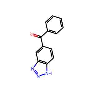 O=C(c1ccccc1)c1ccc2[nH]nnc2c1